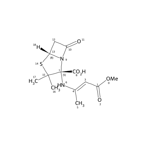 COC(=O)C=C(C)N[C@@]1(C(=O)O)N2C(=O)C[C@H]2SC1(C)C